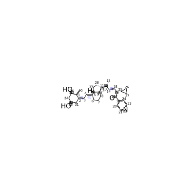 C=C1/C(=C\C=C2/CCC[C@]3(C)[C@@H]([C@H](C)/C=C/[C@@H](C(=O)c4ccncc4)C4CC4)CC[C@@H]23)C[C@@H](O)C[C@@H]1O